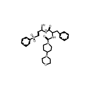 CCCC(C=CS(=O)(=O)c1ccccc1)NC(=O)C(Cc1ccccc1)NC(=O)N1CCC(N2CCOCC2)CC1